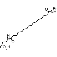 CCNC(=O)CCCCCCCCCCCCCCC(=O)NCCC(=O)O